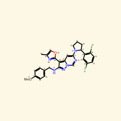 COc1ccc(CNc2nn3cnc(N4CCCC4c4cc(F)ccc4F)cc3c2-c2nc(C)co2)cc1